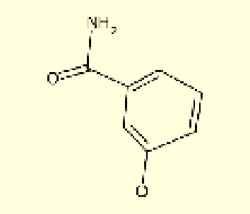 NC(=O)c1cccc([O])c1